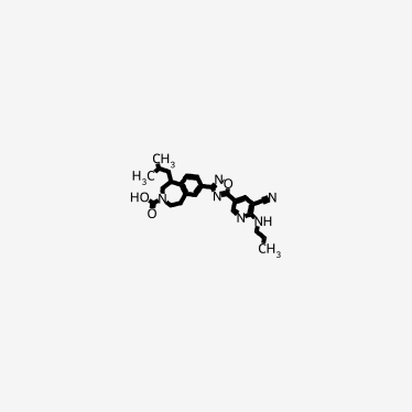 CCCNc1ncc(-c2nc(-c3ccc4c(c3)CCN(C(=O)O)CC4CC(C)C)no2)cc1C#N